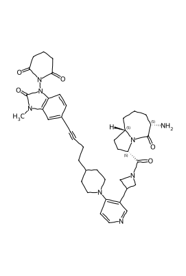 Cn1c(=O)n(N2C(=O)CCCC2=O)c2ccc(C#CCCC3CCN(c4ccncc4C4CN(C(=O)[C@@H]5CC[C@@H]6CCC[C@H](N)C(=O)N65)C4)CC3)cc21